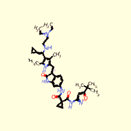 CCN(CC)CCNC(=C1CC1)c1c(C)[nH]c(/C=C2\C(=O)Nc3cc(NC(=O)C4(C(=O)Nc5cc(C(C)(C)C)on5)CC4)ccc32)c1C